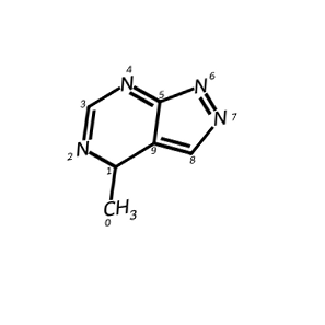 CC1N=CN=C2N=NC=C21